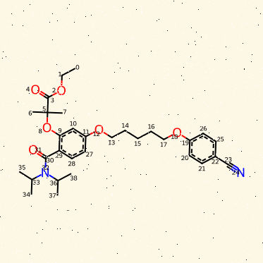 CCOC(=O)C(C)(C)Oc1cc(OCCCCCOc2ccc(C#N)cc2)ccc1C(=O)N(C(C)C)C(C)C